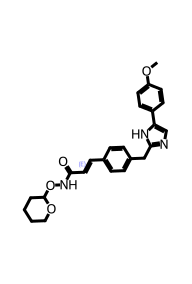 COc1ccc(-c2cnc(Cc3ccc(/C=C/C(=O)NOC4CCCCO4)cc3)[nH]2)cc1